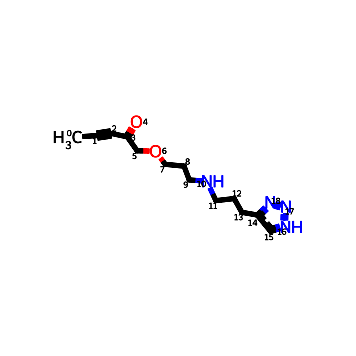 CC#CC(=O)COCCCNCCCc1c[nH]nn1